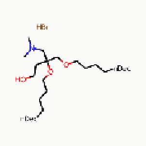 Br.CCCCCCCCCCCCCCOCC(CCO)(CN(C)C)OCCCCCCCCCCCCCC